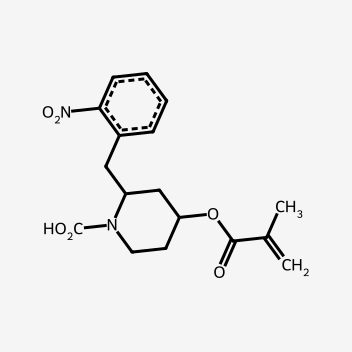 C=C(C)C(=O)OC1CCN(C(=O)O)C(Cc2ccccc2[N+](=O)[O-])C1